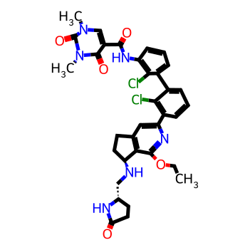 CCOc1nc(-c2cccc(-c3cccc(NC(=O)c4cn(C)c(=O)n(C)c4=O)c3Cl)c2Cl)cc2c1[C@@H](NC[C@@H]1CCC(=O)N1)CC2